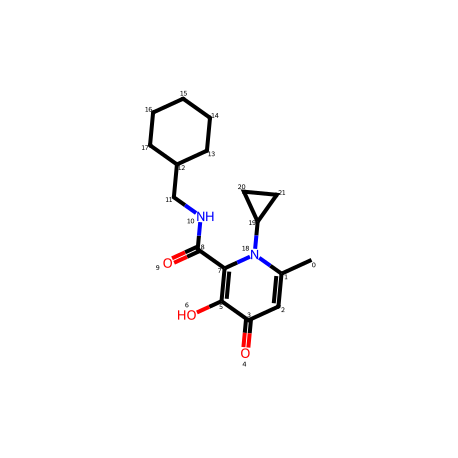 Cc1cc(=O)c(O)c(C(=O)NCC2CCCCC2)n1C1CC1